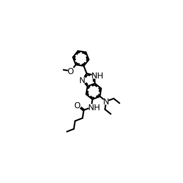 CCCCC(=O)Nc1cc2nc(-c3ccccc3OC)[nH]c2cc1N(CC)CC